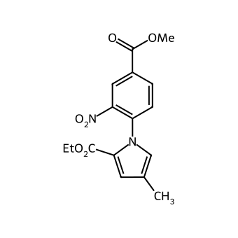 CCOC(=O)c1cc(C)cn1-c1ccc(C(=O)OC)cc1[N+](=O)[O-]